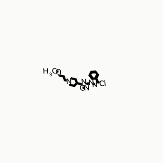 COCCCN1CCC(c2nc(-n3nc(Cl)c4ccccc43)no2)CC1